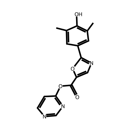 Cc1cc(-c2ncc(C(=O)Oc3ccncn3)o2)cc(C)c1O